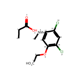 CCC(=O)O.CNC.O=C(O)COc1ccc(Cl)cc1Cl